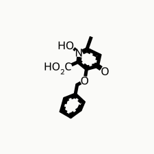 Cc1cc(=O)c(OCc2ccccc2)c(C(=O)O)n1O